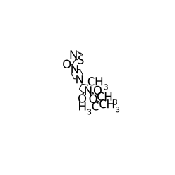 CC1C(N2CCN(C(=O)c3nccs3)CC2)CC(=O)N1C(=O)OC(C)(C)C